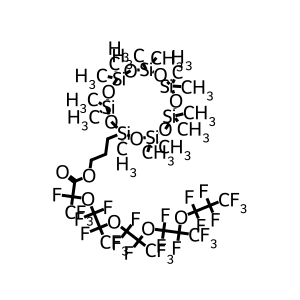 C[Si]1(C)O[Si](C)(C)O[Si](C)(C)O[Si](C)(C)O[Si](C)(CCCOC(=O)C(F)(OC(F)(F)C(F)(OC(F)(F)C(F)(OC(F)(F)C(F)(OC(F)(F)C(F)(F)C(F)(F)F)C(F)(F)F)C(F)(F)F)C(F)(F)F)C(F)(F)F)O[Si](C)(C)O[Si](C)(C)O1